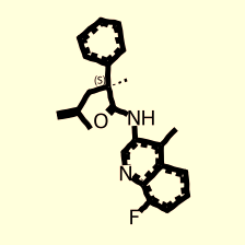 C=C(C)C[C@](C)(C(=O)Nc1cnc2c(F)cccc2c1C)c1ccccc1